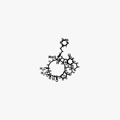 CO[C@@]1(C#CCCc2ccncn2)CCC[C@H](C)[C@@H](C)S(=O)(=O)NC(=O)c2ccc3c(c2)N(C[C@@H]2CC[C@H]21)C[C@@]1(CCCc2cc(Cl)ccc21)CO3